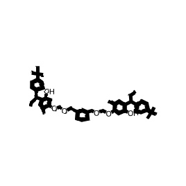 CCC(c1ccc(C(C)(C)C)cc1)c1cc(C)c(OCOCc2cccc(COCOc3cc(O)c(C(CC)c4ccc(C(C)(C)C)cc4)cc3C)c2)cc1O